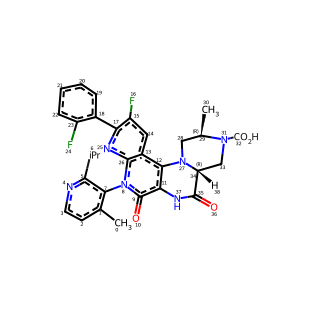 Cc1ccnc(C(C)C)c1-n1c(=O)c2c(c3cc(F)c(-c4ccccc4F)nc31)N1C[C@@H](C)N(C(=O)O)C[C@@H]1C(=O)N2